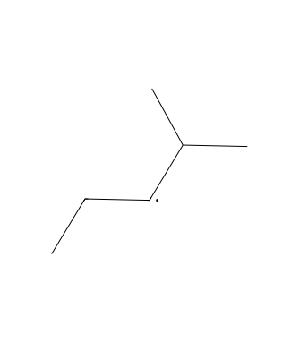 CC[CH]C(C)C